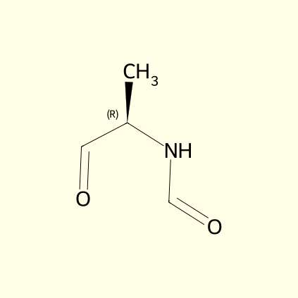 C[C@H](C=O)NC=O